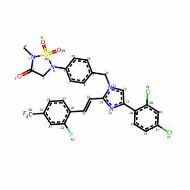 CN1C(=O)CN(c2ccc(Cn3cc(-c4ccc(Cl)cc4Cl)nc3/C=C/c3ccc(C(F)(F)F)cc3F)cc2)S1(=O)=O